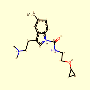 COc1ccc2c(c1)c(CCN(C)C)cn2C(=O)NCCOC1CC1